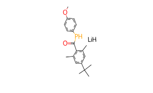 COc1ccc(PC(=O)c2c(C)cc(C(C)(C)C)cc2C)cc1.[LiH]